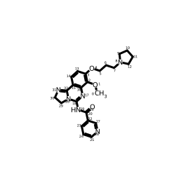 COc1c(OCCCN2CCCC2)ccc2c1N=C(NC(=O)c1cccnc1)N1CCN=C21